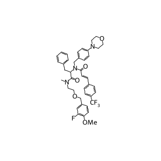 COc1ccc(COCCN(C)C(=O)C(Cc2ccccc2)N(Cc2ccc(N3CCOCC3)cc2)C(=O)C=Cc2ccc(C(F)(F)F)cc2)cc1F